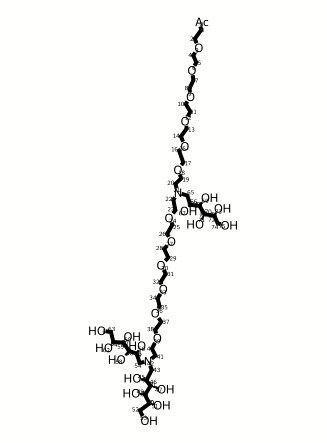 CC(=O)CCOCCOCCOCCOCCOCCOCCN(CCOCCOCCOCCOCCOCCOCCN(C[C@H](O)[C@@H](O)[C@H](O)[C@H](O)CO)C[C@H](O)[C@@H](O)[C@H](O)[C@H](O)CO)C[C@H](O)[C@@H](O)[C@H](O)[C@H](O)CO